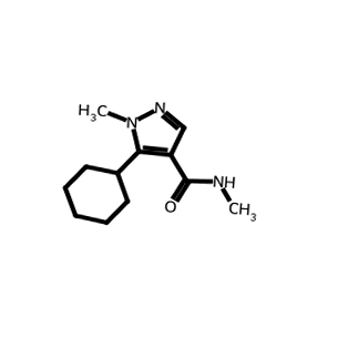 CNC(=O)c1cnn(C)c1C1CCCCC1